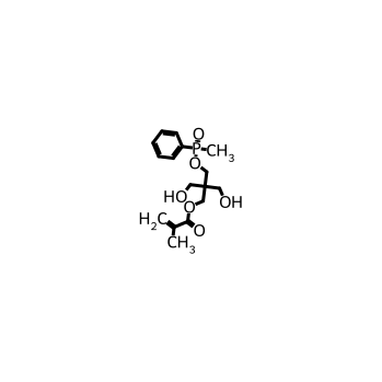 C=C(C)C(=O)OCC(CO)(CO)COP(C)(=O)c1ccccc1